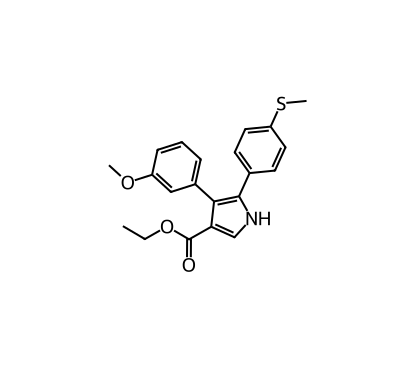 CCOC(=O)c1c[nH]c(-c2ccc(SC)cc2)c1-c1cccc(OC)c1